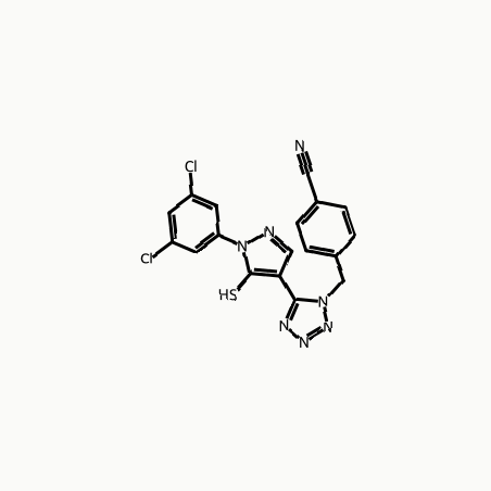 N#Cc1ccc(Cn2nnnc2-c2cnn(-c3cc(Cl)cc(Cl)c3)c2S)cc1